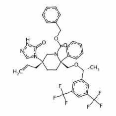 C=CC[C@]1(n2cn[nH]c2=O)CC[C@@](CO[C@H](C)c2cc(C(F)(F)F)cc(C(F)(F)F)c2)(c2ccccc2)N(C(=O)OCc2ccccc2)C1